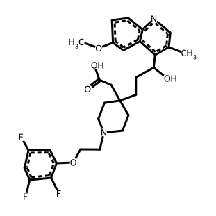 COc1ccc2ncc(C)c(C(O)CCC3(CC(=O)O)CCN(CCOc4cc(F)cc(F)c4F)CC3)c2c1